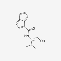 CC(C)[C@@H](CO)NC(=O)C1=CC=C2C=CC=C21